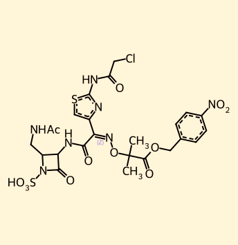 CC(=O)NCC1C(NC(=O)/C(=N\OC(C)(C)C(=O)OCc2ccc([N+](=O)[O-])cc2)c2csc(NC(=O)CCl)n2)C(=O)N1S(=O)(=O)O